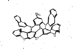 CC(C)(C)c1cc2c3c(c1)N(c1ccc4ccccc4c1)c1c4c(cc5oc6ccccc6c15)Oc1cc5oc6ccccc6c5c(c1B34)N2c1ccc2ccccc2c1